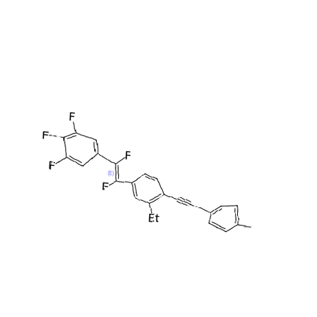 CCc1cc(/C(F)=C(\F)c2cc(F)c(F)c(F)c2)ccc1C#Cc1ccc(C)cc1